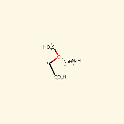 O=C(O)COS(=O)(=O)O.[NaH].[NaH]